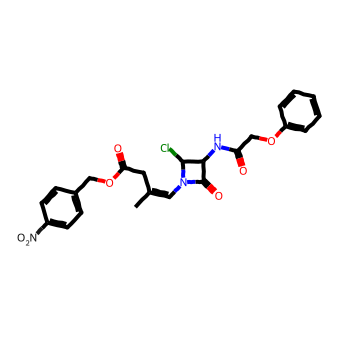 CC(=CN1C(=O)C(NC(=O)COc2ccccc2)C1Cl)CC(=O)OCc1ccc([N+](=O)[O-])cc1